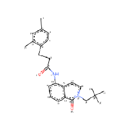 Cc1ccc(CCC(=O)Nc2cccc3c(=O)n(CC(C)(C)C)ccc23)c(C)c1